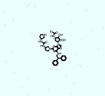 CCC(=O)N[C@H]1C[C@@H](n2cnc3c(NCC(c4ccccc4)c4ccccc4)nc(N4CC[C@@H](NC(=O)N[C@@H]5CCNC5)C4)nc32)[C@H](O)[C@@H]1O